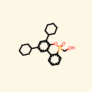 O=P1(CO)Oc2c(cc(C3CCCCC3)cc2C2CCCCC2)-c2ccccc21